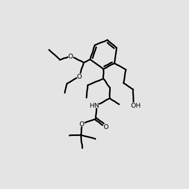 CCOC(OCC)c1cccc(CCCO)c1C(CC)CC(C)NC(=O)OC(C)(C)C